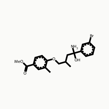 COC(=O)c1ccc(OCC(C)CC(N)(O)c2cccc(Br)c2)c(C)c1